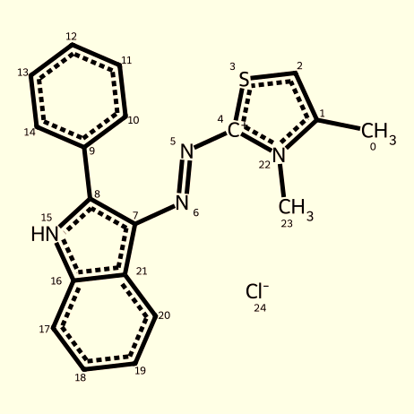 Cc1cs[c+](N=Nc2c(-c3ccccc3)[nH]c3ccccc23)n1C.[Cl-]